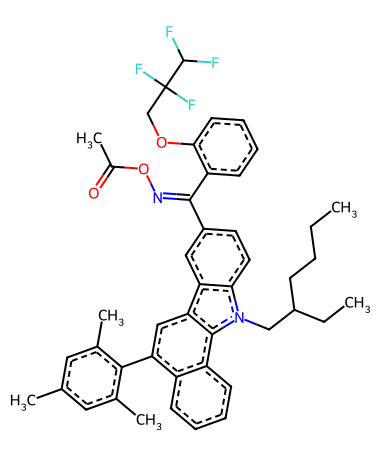 CCCCC(CC)Cn1c2ccc(C(=NOC(C)=O)c3ccccc3OCC(F)(F)C(F)F)cc2c2cc(-c3c(C)cc(C)cc3C)c3ccccc3c21